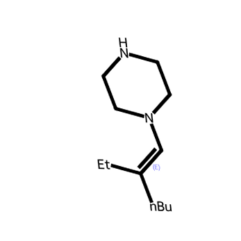 CCCC/C(=C/N1CCNCC1)CC